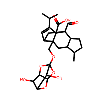 CC(C)C1=CC2CC3(C=O)C4CCC(C)C4CC2(COC24OC5OC(C(O)C5O2)C4O)C13C(=O)O